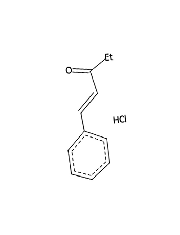 CCC(=O)C=Cc1ccccc1.Cl